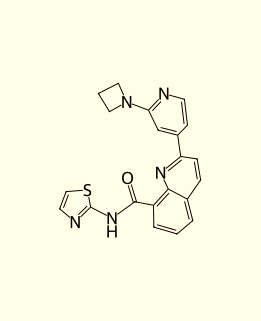 O=C(Nc1nccs1)c1cccc2ccc(-c3ccnc(N4CCC4)c3)nc12